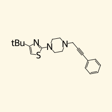 CC(C)(C)c1csc(N2CCN(CC#Cc3ccccc3)CC2)n1